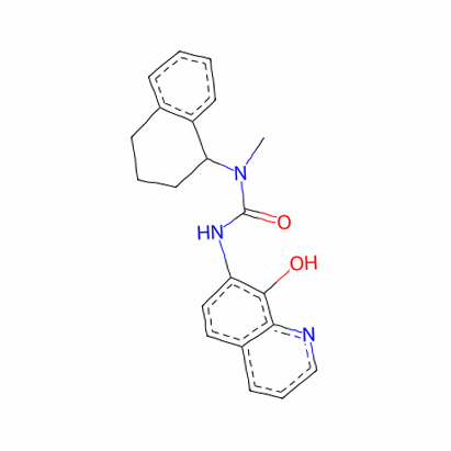 CN(C(=O)Nc1ccc2cccnc2c1O)C1CCCc2ccccc21